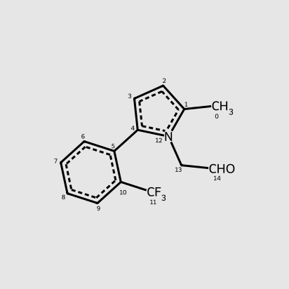 Cc1ccc(-c2ccccc2C(F)(F)F)n1CC=O